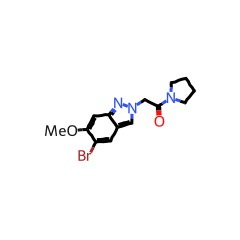 COc1cc2nn(CC(=O)N3CCCC3)cc2cc1Br